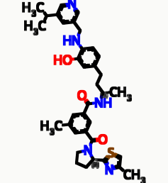 Cc1cc(C(=O)N[C@@H](C)CCc2ccc(NCc3cncc(C(C)C)c3)c(O)c2)cc(C(=O)N2CCC[C@@H]2c2nc(C)cs2)c1